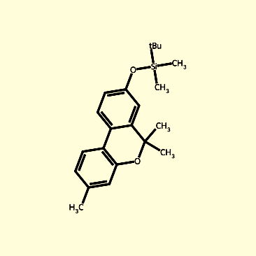 Cc1ccc2c(c1)OC(C)(C)c1cc(O[Si](C)(C)C(C)(C)C)ccc1-2